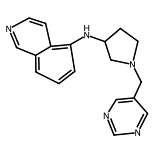 c1cc(NC2CCN(Cc3cncnc3)C2)c2ccncc2c1